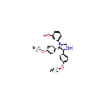 COc1ccc(C2=C(c3ccc(OC)cc3)N(c3cccc(O)c3)CN2)cc1